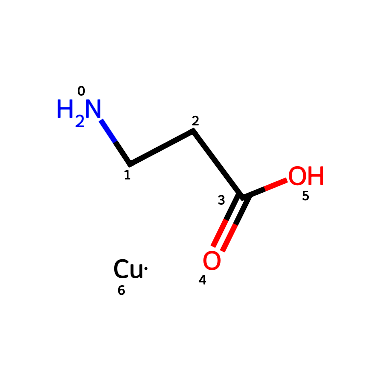 NCCC(=O)O.[Cu]